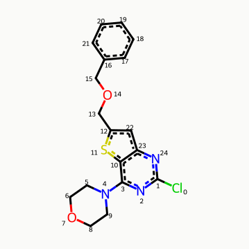 Clc1nc(N2CCOCC2)c2sc(COCc3ccccc3)cc2n1